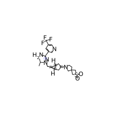 CC(C)N(C[C@H]1[C@@H]2C[C@@H](N3CCC4(C3)CS(=O)(=O)C4)C[C@@H]21)/N=C(\N)c1cncc(C(F)(F)F)c1